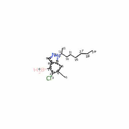 Bc1c(Cl)c(C)cc2c1cnn2C(C)CCCCCC